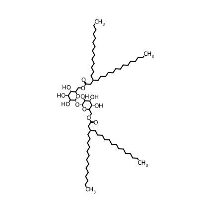 CCCCCCCCCCCCCCC(CCCCCCCCCCCCCC)CC(=O)OCC1O[C@H](O[C@H]2OC(COC(=O)CC(CCCCCCCCCCCCCC)CCCCCCCCCCCCCC)[C@@H](O)[C@H](O)C2O)C(O)[C@@H](O)[C@@H]1O